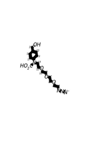 [N-]=[N+]=NCCOCCOCCOCCN(C(=O)O)c1ccc(CO)cc1